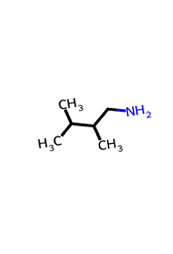 CC(C)C(C)CN